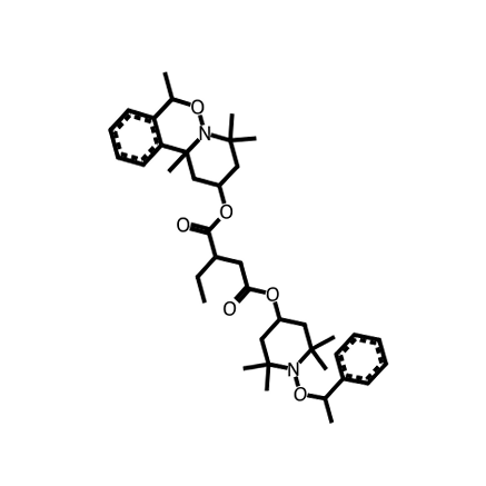 CCC(CC(=O)OC1CC(C)(C)N(OC(C)c2ccccc2)C(C)(C)C1)C(=O)OC1CC(C)(C)N2OC(C)c3ccccc3C2(C)C1